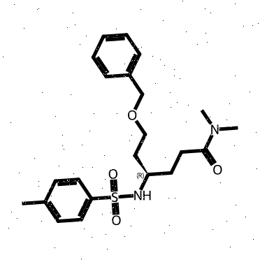 Cc1ccc(S(=O)(=O)N[C@@H](CCOCc2ccccc2)CCC(=O)N(C)C)cc1